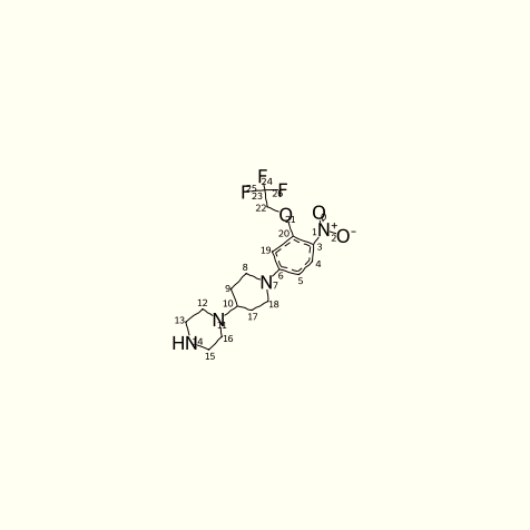 O=[N+]([O-])c1ccc(N2CCC(N3CCNCC3)CC2)cc1OCC(F)(F)F